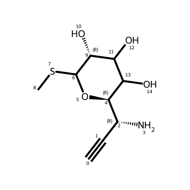 C#C[C@@H](N)[C@H]1OC(SC)[C@H](O)C(O)C1O